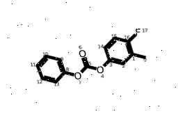 Cc1cc(OC(=O)Oc2ccccc2)ccc1F